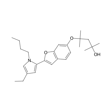 CCCCn1cc(CC)cc1-c1cc2ccc(OC(C)(C)CC(C)(C)O)cc2o1